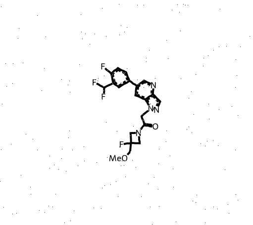 COCC1(F)CN(C(=O)Cn2ncc3ncc(-c4ccc(F)c(C(F)F)c4)cc32)C1